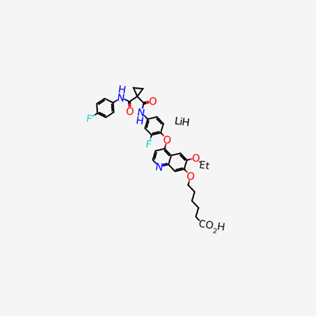 CCOc1cc2c(Oc3ccc(NC(=O)C4(C(=O)Nc5ccc(F)cc5)CC4)cc3F)ccnc2cc1OCCCCCC(=O)O.[LiH]